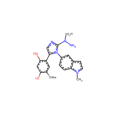 COc1cc(-c2cnc(N(N)S(=O)(=O)O)n2-c2ccc3c(ccn3C)c2)c(O)cc1O